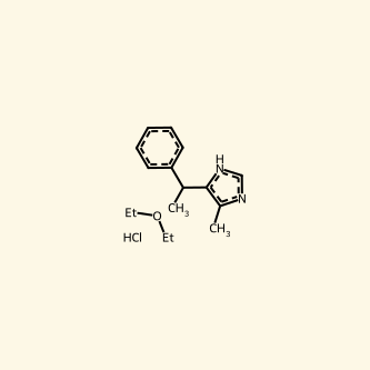 CCOCC.Cc1nc[nH]c1C(C)c1ccccc1.Cl